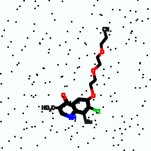 CC(C)(C)c1c(Cl)c(OCCOCCOCCC#N)cc2c(=O)c(C(=O)O)c[nH]c12